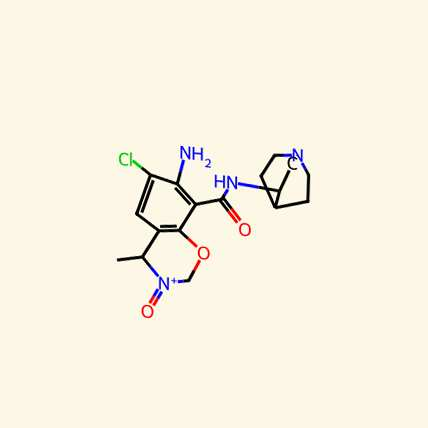 CC1c2cc(Cl)c(N)c(C(=O)NC3CN4CCC3CC4)c2OC[N+]1=O